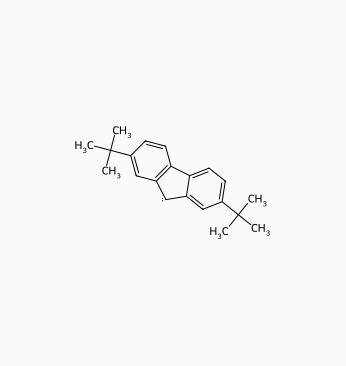 CC(C)(C)c1ccc2c(c1)[C]c1cc(C(C)(C)C)ccc1-2